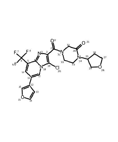 O=C(c1nc2c(C(F)(F)F)cc(-c3ccoc3)cn2c1Cl)N1CCN(C2CCOC2)C(=O)C1